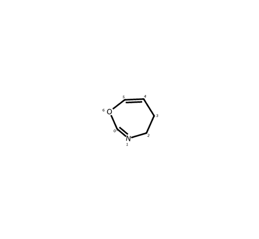 [C]1=NCCC=CO1